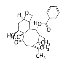 CC1=C2CC(=O)[C@@]3(C)C([C@H](OC(=O)c4ccccc4)C(CC1)C2(C)C)[C@@H]1CO[C@@H]1C[C@@H]3O